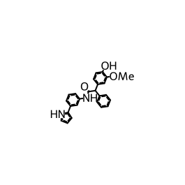 COc1cc(C(C(=O)Nc2cccc(-c3ccc[nH]3)c2)c2ccccc2)ccc1O